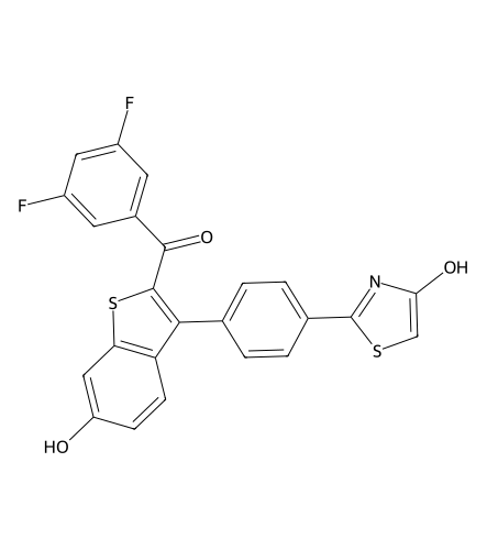 O=C(c1cc(F)cc(F)c1)c1sc2cc(O)ccc2c1-c1ccc(-c2nc(O)cs2)cc1